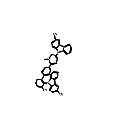 CC1CC(n2c3ccccc3c3cc(C#N)ccc32)=CC=C1c1ccc(C2=C(n3c4ccccc4c4cc(C#N)ccc43)C(C#N)=CCC2)cc1